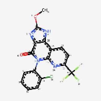 COc1nc2c(=O)n(-c3ccccc3Cl)c3nc(C(F)(F)F)ccc3c2[nH]1